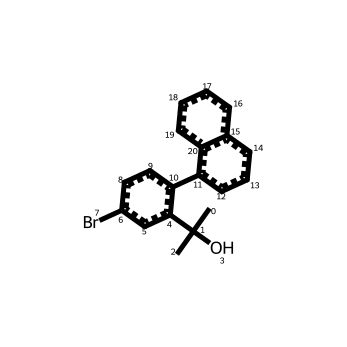 CC(C)(O)c1cc(Br)ccc1-c1cccc2ccccc12